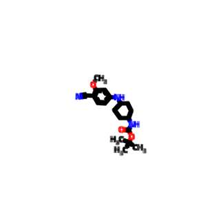 COc1cc(NC2CCC(NC(=O)OC(C)(C)C)CC2)ccc1C#N